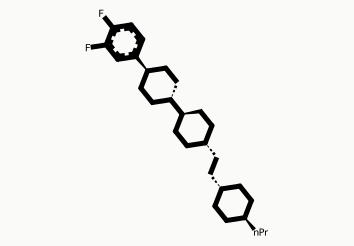 CCC[C@H]1CC[C@H](CC[C@H]2CC[C@H]([C@H]3CC[C@H](c4ccc(F)c(F)c4)CC3)CC2)CC1